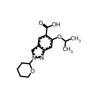 CC(C)Oc1cc2nn(C3CCCCO3)cc2cc1C(=O)O